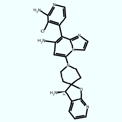 Nc1cc(N2CCC3(CC2)Oc2ncccc2[C@H]3N)n2ccnc2c1-c1ccnc(N)c1Cl